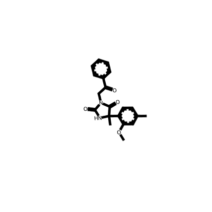 COc1cc(C)ccc1C1(C)NC(=O)N(CC(=O)c2ccccc2)C1=O